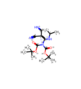 CC(C)N/C(=C(/C#N)C=N)N(C(=O)OC(C)(C)C)C(=O)OC(C)(C)C